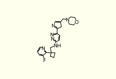 Fc1cccnc1C1(CNc2ccc(C3=NC=C(CN4CCOCC4)C3)nn2)CCC1